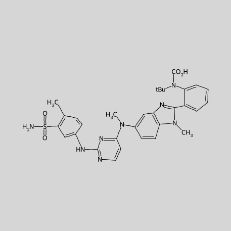 Cc1ccc(Nc2nccc(N(C)c3ccc4c(c3)nc(-c3ccccc3N(C(=O)O)C(C)(C)C)n4C)n2)cc1S(N)(=O)=O